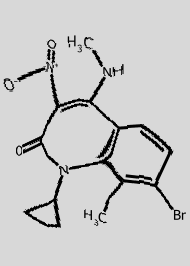 CNc1c([N+](=O)[O-])c(=O)n(C2CC2)c2c(C)c(Br)ccc12